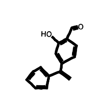 C=C(c1ccccc1)c1ccc(C=O)c(O)c1